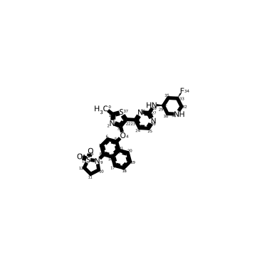 Cc1nc(Oc2ccc(N3CCCS3(=O)=O)c3ccccc23)c(-c2ccnc(N[C@@H]3CNC[C@@H](F)C3)n2)s1